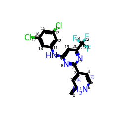 C=C/C=C(\C=C/N)c1nc(Nc2cc(Cl)cc(Cl)c2)cc(C(F)(F)F)n1